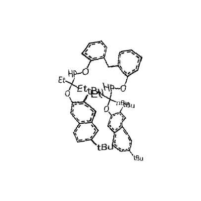 CCCCC(CC)(Oc1cc2ccc(C(C)(C)C)cc2cc1C(C)(C)C)POc1ccccc1Cc1ccccc1OPC(CC)(CC)Oc1cc2ccc(C(C)(C)C)cc2cc1C(C)(C)C